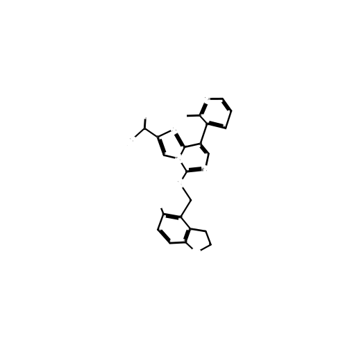 Cc1ncccc1-c1cnc(NCc2c(F)ccc3c2CCO3)n2cc(C(C)N)nc12